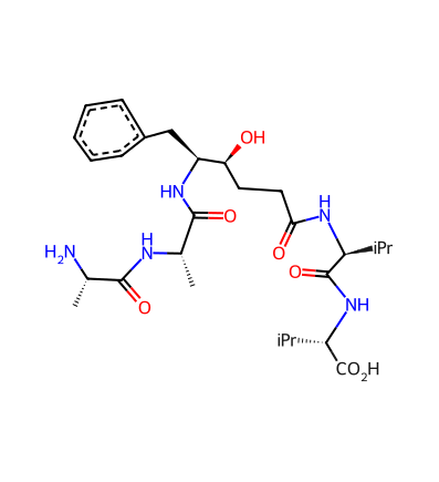 CC(C)[C@H](NC(=O)[C@@H](NC(=O)CC[C@H](O)[C@H](Cc1ccccc1)NC(=O)[C@H](C)NC(=O)[C@H](C)N)C(C)C)C(=O)O